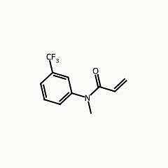 C=CC(=O)N(C)c1cccc(C(F)(F)F)c1